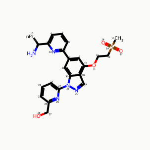 CCCC(N)c1cccc(-c2cc(OCCS(C)(=O)=O)c3cnn(-c4cccc(CO)n4)c3c2)n1